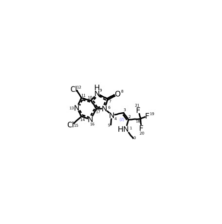 CN/C(=C\N(C)n1c(=O)[nH]c2c(Cl)nc(Cl)nc21)C(F)(F)F